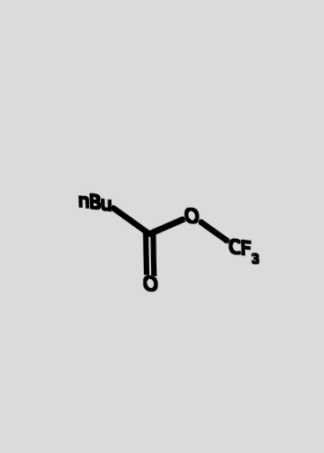 CCCCC(=O)OC(F)(F)F